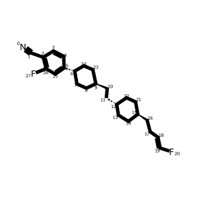 N#Cc1ccc([C@H]2CC[C@H](CC[C@H]3CC[C@H](CCC=CF)CC3)CC2)cc1F